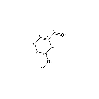 CON1CCC=C(C=O)C1